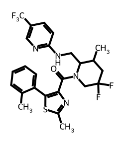 Cc1nc(C(=O)N2CC(F)(F)CC(C)C2CNc2ccc(C(F)(F)F)cn2)c(-c2ccccc2C)s1